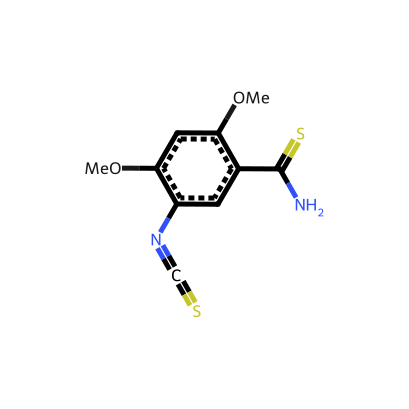 COc1cc(OC)c(C(N)=S)cc1N=C=S